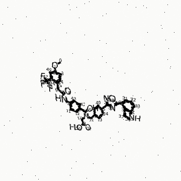 COc1ccc(CC(=O)Nc2ccc(C(O)N(CC(=O)O)Cc3ccc(-c4noc(-c5cccc6[nH]ccc56)n4)cc3)cc2)c(C(F)(F)F)c1